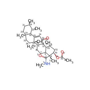 CNC(=O)[C@]1(C)C2CC[C@]3(C)C(C(=O)C=C4C5[C@@H](C)[C@H](C)CC[C@]5(C)CC[C@]43C)[C@@]2(C)CC[C@H]1OC(C)=O